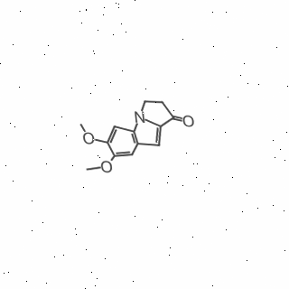 COc1cc2cc3n(c2cc1OC)CCC3=O